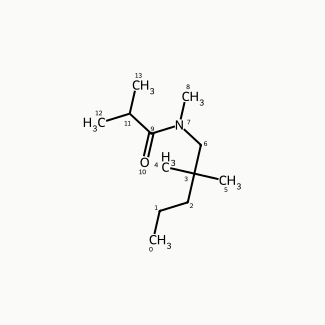 CCCC(C)(C)CN(C)C(=O)C(C)C